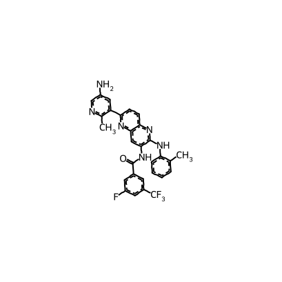 Cc1ccccc1Nc1nc2ccc(-c3cc(N)cnc3C)nc2cc1NC(=O)c1cc(F)cc(C(F)(F)F)c1